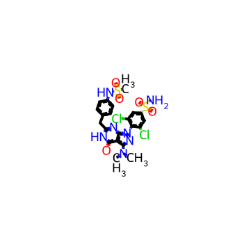 CN(C)c1nn(-c2c(Cl)cc(S(N)(=O)=O)cc2Cl)c2nc(Cc3ccc(NS(C)(=O)=O)cc3)[nH]c(=O)c12